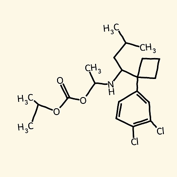 CC(C)CC(NC(C)OC(=O)OC(C)C)C1(c2ccc(Cl)c(Cl)c2)CCC1